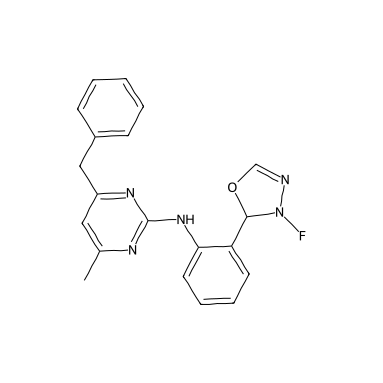 Cc1cc(Cc2ccccc2)nc(Nc2ccccc2C2OC=NN2F)n1